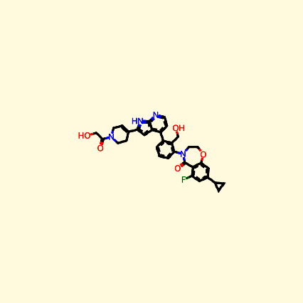 O=C(CO)N1CC=C(c2cc3c(-c4cccc(N5CCOc6cc(C7CC7)cc(F)c6C5=O)c4CO)ccnc3[nH]2)CC1